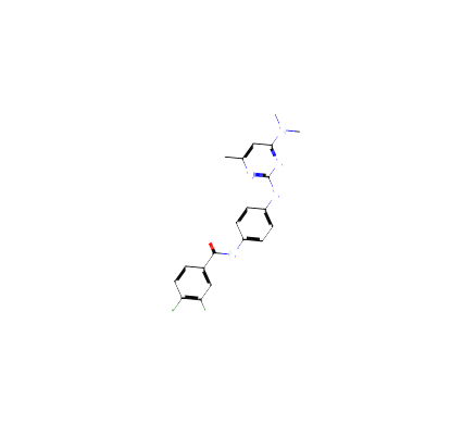 Cc1cc(N(C)C)nc(Nc2ccc(NC(=O)c3ccc(Cl)c(Cl)c3)cc2)n1